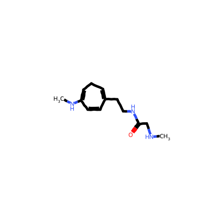 CNCC(=O)NCCC1=CCC=C(NC)C=C1